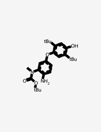 CN(C(=O)OC(C)(C)C)c1cc(Oc2cc(C(C)(C)C)c(O)cc2C(C)(C)C)ccc1N